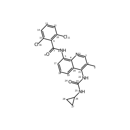 Cc1cnc2c(NC(=O)c3c(Cl)cccc3Cl)cccc2c1NC(=O)NC1CC1